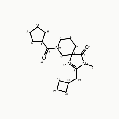 CN1C(=O)C2(CCCN(C(=O)C3CCCC3)C2)N=C1CC1CCC1